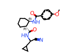 COc1ccc(C(=O)N[C@@H]2CCCC[C@H]2C(=O)NC(C#N)C2CC2)cc1